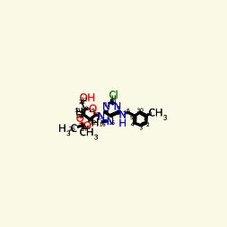 Cc1cccc(CNc2nc(Cl)nc3c2ncn3[C@@H]2O[C@H](CO)[C@H]3OC(C)(C)O[C@H]32)c1